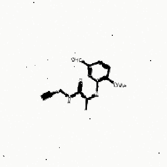 C#CCNC(=O)C(C)Oc1cc(C=O)ccc1OC